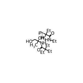 CCC(CC)(CC)C(=O)NC(C)(C)CO.CCNC(=O)C(CC)(C(C)C)C(C)C